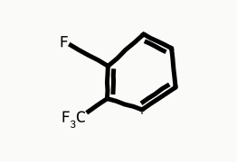 Fc1ccc[c]c1C(F)(F)F